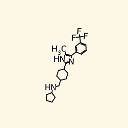 Cc1[nH]c(C2CCC(CNC3CCCC3)CC2)nc1-c1cccc(C(F)(F)F)c1